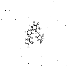 Cc1[nH]c(=O)c(Br)c(OCc2ccc(F)cc2F)c1-c1cccc(CNC(=O)N(C)C)c1